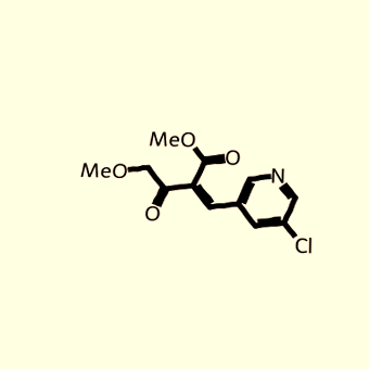 COCC(=O)C(=Cc1cncc(Cl)c1)C(=O)OC